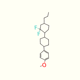 CCCC1CCC(C2CCC(c3ccc(OC)cc3)CC2)C(F)(F)C1